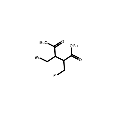 CC(C)COC(=O)C(CC(C)C)C(CC(C)C)C(=O)OCC(C)C